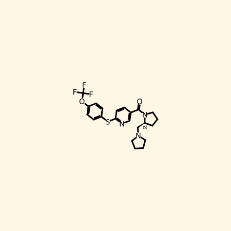 O=C(c1ccc(Sc2ccc(OC(F)(F)F)cc2)nc1)N1CCC[C@H]1CN1CCCC1